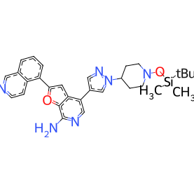 CC(C)(C)[Si](C)(C)ON1CCC(n2cc(-c3cnc(N)c4oc(-c5cccc6cnccc56)cc34)cn2)CC1